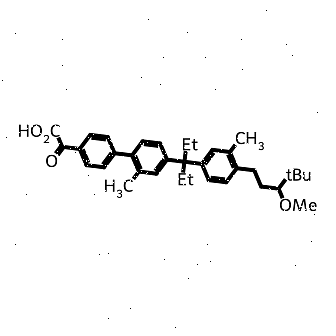 CCC(CC)(c1ccc(CCC(OC)C(C)(C)C)c(C)c1)c1ccc(-c2ccc(C(=O)C(=O)O)cc2)c(C)c1